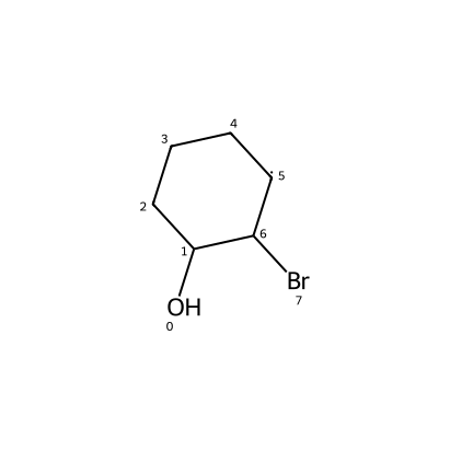 OC1CCC[CH]C1Br